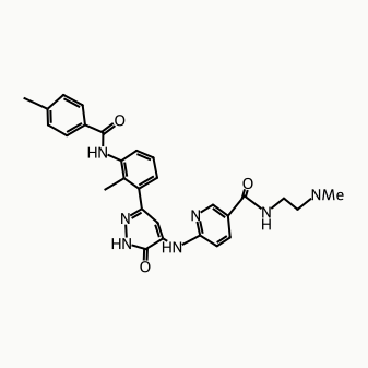 CNCCNC(=O)c1ccc(Nc2cc(-c3cccc(NC(=O)c4ccc(C)cc4)c3C)n[nH]c2=O)nc1